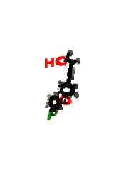 CC(O)C(C)C#Cc1ccc(Oc2cccc(F)c2)cc1